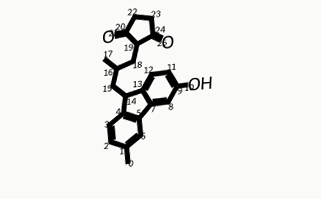 Cc1ccc2c(c1)-c1cc(O)ccc1C2CC(C)CC1C(=O)CCC1=O